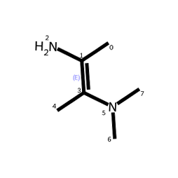 C/C(N)=C(/C)N(C)C